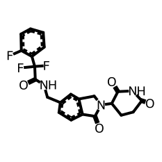 O=C1CCC(N2Cc3cc(CNC(=O)C(F)(F)c4ccccc4F)ccc3C2=O)C(=O)N1